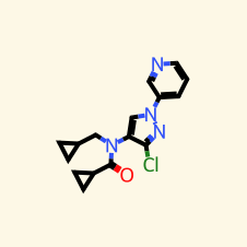 O=C(C1CC1)N(CC1CC1)c1cn(-c2cccnc2)nc1Cl